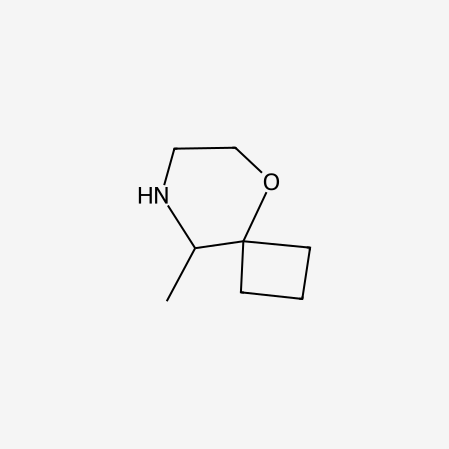 CC1NCCOC12CCC2